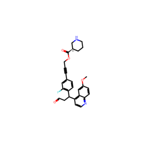 COc1ccc2nccc(C(CC=O)c3ccc(C#CCOC(=O)[C@@H]4CCCNC4)cc3F)c2c1